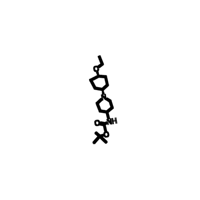 CCO[C@H]1CC[C@@H](N2CCC(NC(=O)OC(C)(C)C)CC2)CC1